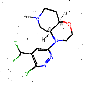 CC(=O)N1CC[C@H]2OCCN(c3cc(C(F)F)c(Cl)nn3)[C@H]2C1